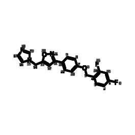 Fc1ccc(COc2ccc(-c3cc(Cn4ccnc4)on3)cc2)c(F)c1